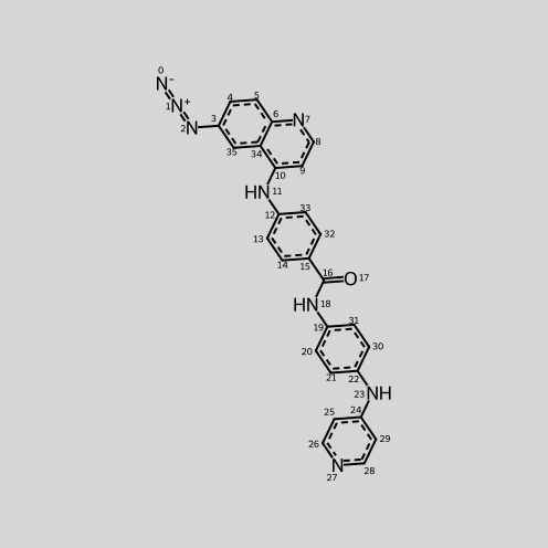 [N-]=[N+]=Nc1ccc2nccc(Nc3ccc(C(=O)Nc4ccc(Nc5ccncc5)cc4)cc3)c2c1